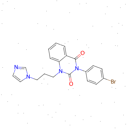 O=c1c2ccccc2n(CCCn2ccnc2)c(=O)n1-c1ccc(Br)cc1